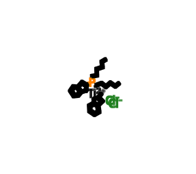 CCCCCCP(CCCCCC)C1=Cc2ccccc2[CH]1[Ti+2][CH]1C(C)=Cc2ccccc21.[Cl-].[Cl-]